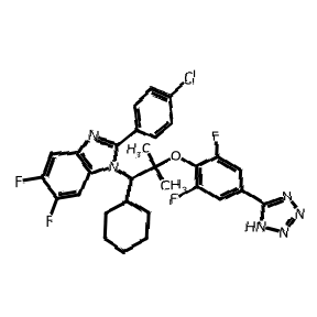 CC(C)(Oc1c(F)cc(-c2nnn[nH]2)cc1F)C(C1CCCCC1)n1c(-c2ccc(Cl)cc2)nc2cc(F)c(F)cc21